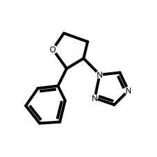 c1ccc(C2OCCC2n2cncn2)cc1